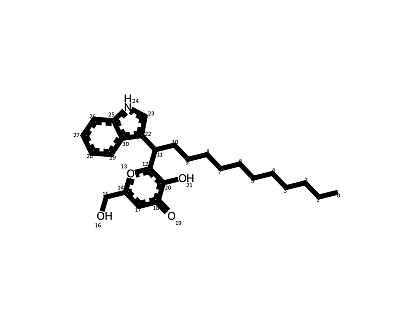 CCCCCCCCCCCC(c1oc(CO)cc(=O)c1O)c1c[nH]c2ccccc12